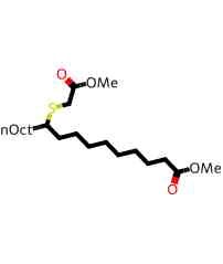 CCCCCCCCC(CCCCCCCCC(=O)OC)SCC(=O)OC